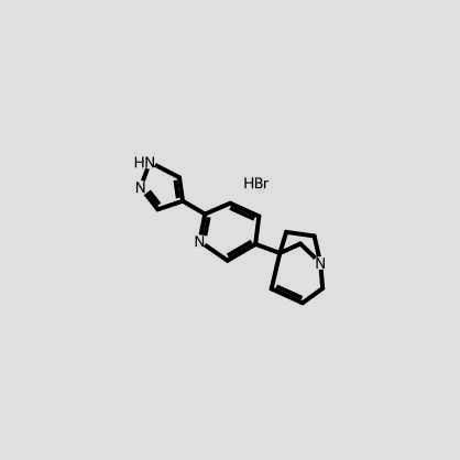 Br.C1=CC2(c3ccc(-c4cn[nH]c4)nc3)CCN(C1)C2